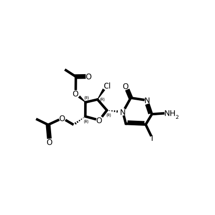 CC(=O)OC[C@H]1O[C@@H](n2cc(I)c(N)nc2=O)[C@H](Cl)[C@@H]1OC(C)=O